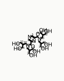 O=C(c1cncc(C(=O)N(CC(CO)CO)CC(CO)CO)n1)N(CC(CO)CO)CC(CO)CO